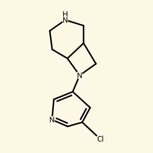 Clc1cncc(N2CC3CNCCC32)c1